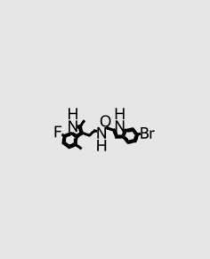 Cc1[nH]c2c(F)ccc(C)c2c1CCNC(=O)c1cc2ccc(Br)cc2[nH]1